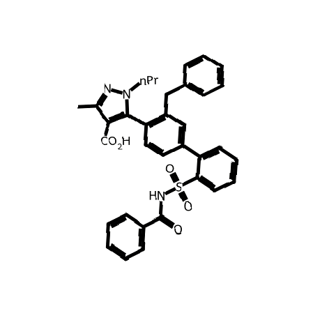 CCCn1nc(C)c(C(=O)O)c1-c1ccc(-c2ccccc2S(=O)(=O)NC(=O)c2ccccc2)cc1Cc1ccccc1